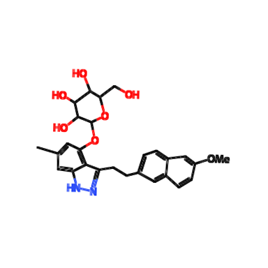 COc1ccc2cc(CCc3n[nH]c4cc(C)cc(OC5OC(CO)C(O)C(O)C5O)c34)ccc2c1